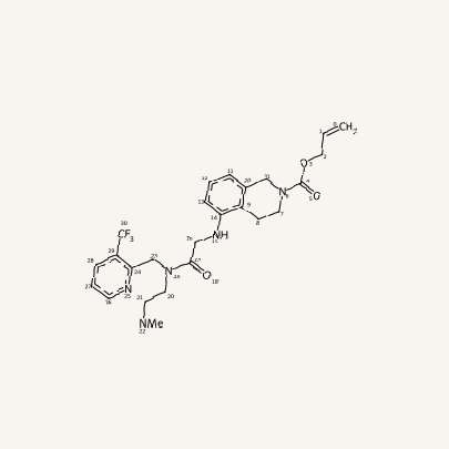 C=CCOC(=O)N1CCc2c(cccc2NCC(=O)N(CCNC)Cc2ncccc2C(F)(F)F)C1